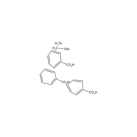 C[TeH].O=C(O)c1ccccc1.O=C(O)c1ccccc1.O=C(O)c1ccccc1.[TeH2]